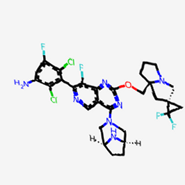 Nc1cc(F)c(Cl)c(-c2ncc3c(N4C[C@H]5CC[C@@H](C4)N5)nc(OC[C@@]45CCCN4C[C@@]4(CC4(F)F)C5)nc3c2F)c1Cl